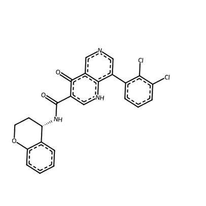 O=C(N[C@H]1CCOc2ccccc21)c1c[nH]c2c(-c3cccc(Cl)c3Cl)cncc2c1=O